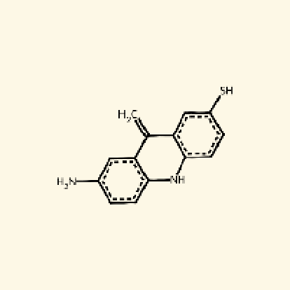 C=C1c2cc(N)ccc2Nc2ccc(S)cc21